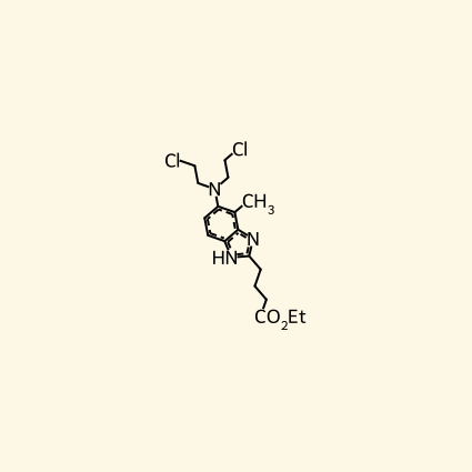 CCOC(=O)CCCc1nc2c(C)c(N(CCCl)CCCl)ccc2[nH]1